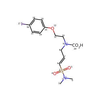 CN(C)S(=O)(=O)/C=C/CN(CCOc1ccc(I)cc1)C(=O)O